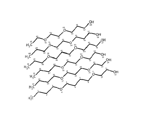 CCCCOCCCCOCCO.CCCCOCCCOCCO.CCCCOCCOCCO.CCCOCCCOCCCO.CCCOCCOCCCO.CCOCCOCCCO